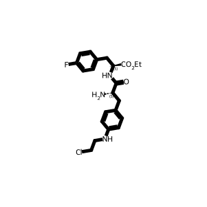 CCOC(=O)[C@H](Cc1ccc(F)cc1)NC(=O)[C@@H](N)Cc1ccc(NCCCl)cc1